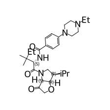 CCN1CCN(c2ccc(C(=O)N[C@H](C(=O)N3C[C@@H](C(C)C)[C@H]4OCC(=O)[C@H]43)C(C)(C)CC)cc2)CC1